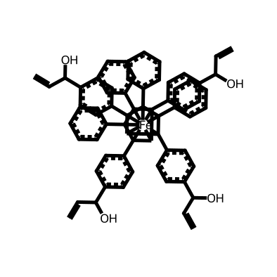 C=CC(O)c1ccc([C]23[CH]4[C]5(c6ccc(C(O)C=C)cc6)[C]6(c7ccccc7)[C]2(c2ccccc2)[Fe]43562789[CH]3[C]2(c2ccc(C(O)C=C)cc2)[C]7(c2ccccc2)[C]8(c2ccccc2)[C]39c2ccc(C(O)C=C)cc2)cc1